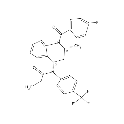 CCC(=O)N(c1ccc(C(F)(F)F)cc1)[C@H]1C[C@@H](C)N(C(=O)c2ccc(F)cc2)c2ccccc21